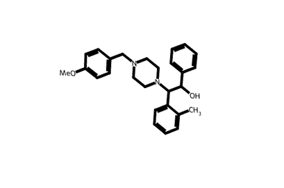 COc1ccc(CN2CCN(C(c3ccccc3C)C(O)c3ccccc3)CC2)cc1